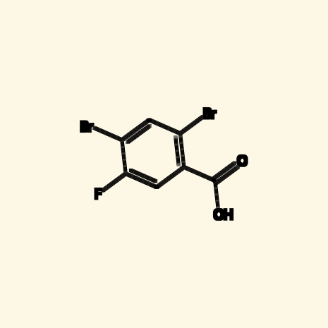 O=C(O)c1cc(F)c(Br)cc1Br